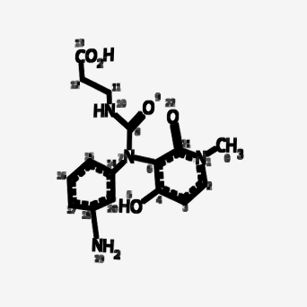 Cn1ccc(O)c(N(C(=O)NCCC(=O)O)c2cccc(N)c2)c1=O